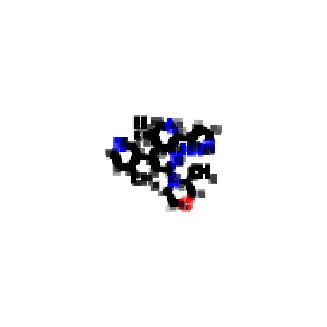 Cc1ccncc1-c1cc(N2CCOC[C@H]2C)nc2c(-c3ccn[nH]3)ncc(C)c12